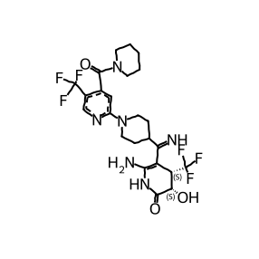 N=C(C1=C(N)NC(=O)[C@@H](O)[C@H]1C(F)(F)F)C1CCN(c2cc(C(=O)N3CCCCC3)c(C(F)(F)F)cn2)CC1